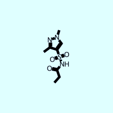 CCC(=O)NS(=O)(=O)c1cn(C)nc1C